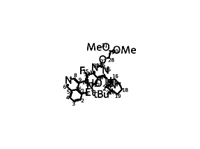 CCc1cccc2cncc(-c3ncc4c(N5CC6CCC(C(C)(C)C)(C5)N6C(=O)O)nc(OCC(OC)OC)nc4c3F)c12